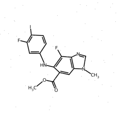 COC(=O)c1cc2c(ncn2C)c(F)c1Nc1ccc(I)c(F)c1